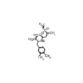 C=CS(=O)(=O)N(C)CC(=O)NC(Cc1ccc(C)c(C)c1)B(O)O